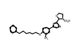 O=C(O)N1CCOC1c1ncc(-c2ccc(OCCCCCCc3ccccc3)c(C(F)(F)F)c2)s1